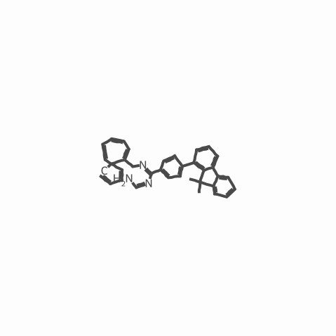 CC1(C)c2ccccc2-c2cccc(-c3ccc(C(/N=C\N)=N/CC4=CC=CC=CC45C=CC=CC5)cc3)c21